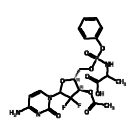 CC(=O)O[C@@H]1[C@@H](COP(=O)(NC(C)C(=O)O)Oc2ccccc2)OC(n2ccc(N)nc2=O)C1(F)F